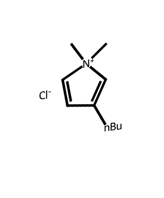 CCCCC1=C[N+](C)(C)C=C1.[Cl-]